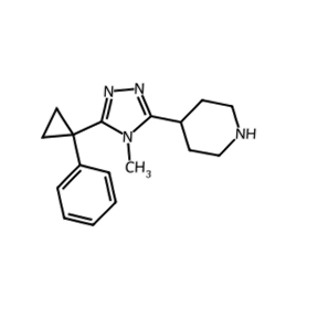 Cn1c(C2CCNCC2)nnc1C1(c2ccccc2)CC1